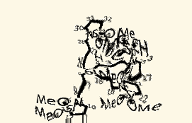 CO[Si]1(CCC[Si](CCCN2CCC[Si]2(OC)OC)(CCCN2CCC[Si]2(OC)OC)CCCN2CCC[Si]2(OC)OC)CCCN1[Si](C)(C)C